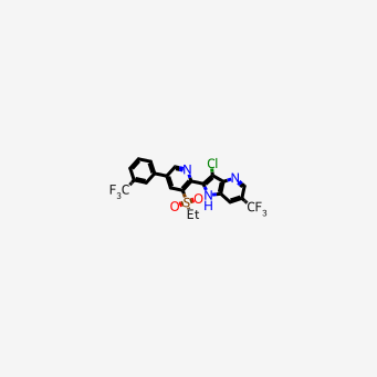 CCS(=O)(=O)c1cc(-c2cccc(C(F)(F)F)c2)cnc1-c1[nH]c2cc(C(F)(F)F)cnc2c1Cl